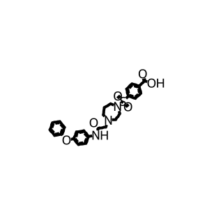 O=C(CN1CCCN(S(=O)(=O)c2ccc(C(=O)O)cc2)CC1)Nc1ccc(Oc2ccccc2)cc1